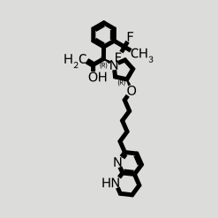 C=C(O)[C@@H](c1ccccc1C(C)(F)F)N1CC[C@@H](OCCCCCc2ccc3c(n2)NCCC3)C1